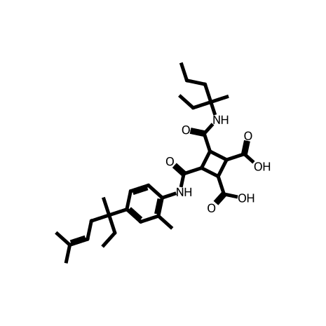 CCCC(C)(CC)NC(=O)C1C(C(=O)O)C(C(=O)O)C1C(=O)Nc1ccc(C(C)(CC)CC=C(C)C)cc1C